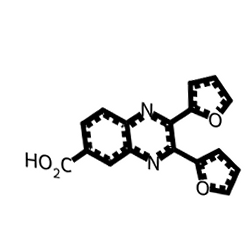 O=C(O)c1ccc2nc(-c3ccco3)c(-c3ccco3)nc2c1